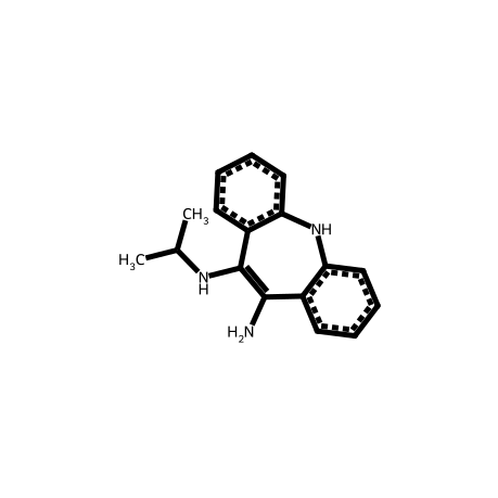 CC(C)NC1=C(N)c2ccccc2Nc2ccccc21